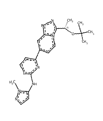 C[C@H](OC(C)(C)C)c1nnc2cc(-c3ccnc(Nc4ccnn4C)n3)ccn12